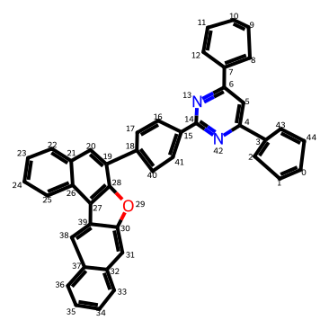 c1ccc(-c2cc(-c3ccccc3)nc(-c3ccc(-c4cc5ccccc5c5c4oc4cc6ccccc6cc45)cc3)n2)cc1